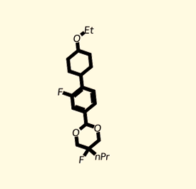 CCCC1(F)COC(c2ccc(C3CCC(OCC)CC3)c(F)c2)OC1